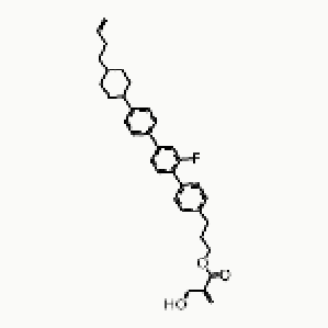 C=CCCC1CCC(c2ccc(-c3ccc(-c4ccc(CCCOC(=O)C(=C)CO)cc4)c(F)c3)cc2)CC1